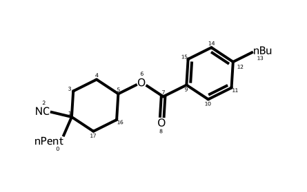 CCCCCC1(C#N)CCC(OC(=O)c2ccc(CCCC)cc2)CC1